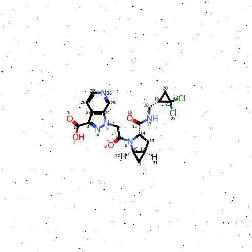 O=C(O)c1nn(CC(=O)N2[C@@H]3C[C@@H]3C[C@H]2C(=O)NC[C@@H]2CC2(Cl)Cl)c2cnccc12